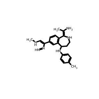 CN/C=C(\N=N)c1ccc2c(c1)C(Nc1ccc(C)cc1)CCN/C2=C(/C)N